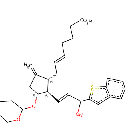 C=C1C[C@@H](OC2CCCCO2)[C@H](C=CC(O)c2cc3ccccc3s2)[C@H]1CC=CCCCC(=O)O